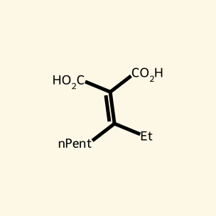 CCCCCC(CC)=C(C(=O)O)C(=O)O